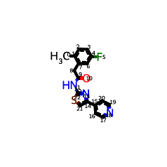 Cc1ccc(F)cc1CC(=O)Nc1nc(-c2ccncc2)cs1